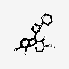 CN1CCn2c(c(-c3cnn(C4CCCCO4)c3)c3ccc(Cl)c(Cl)c32)C1=O